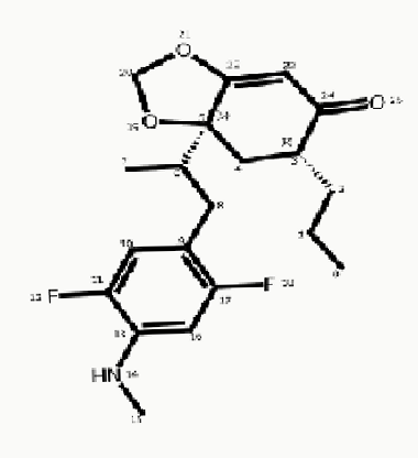 CCC[C@@H]1C[C@@]2(C(C)Cc3cc(F)c(NC)cc3F)OCOC2=CC1=O